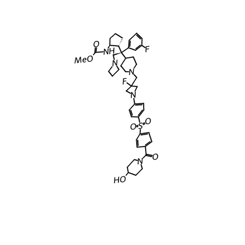 COC(=O)N[C@H]1CCC[C@@H]1[C@](CN1CCC1)(c1cccc(F)c1)C1CCN(CC2(F)CN(c3ccc(S(=O)(=O)c4ccc(C(=O)N5CCC(O)CC5)cc4)cc3)C2)CC1